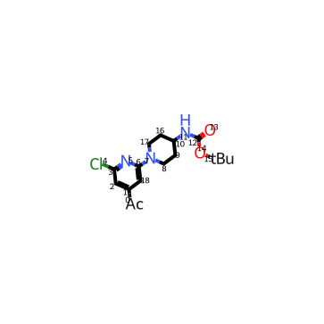 CC(=O)c1cc(Cl)nc(N2CCC(NC(=O)OC(C)(C)C)CC2)c1